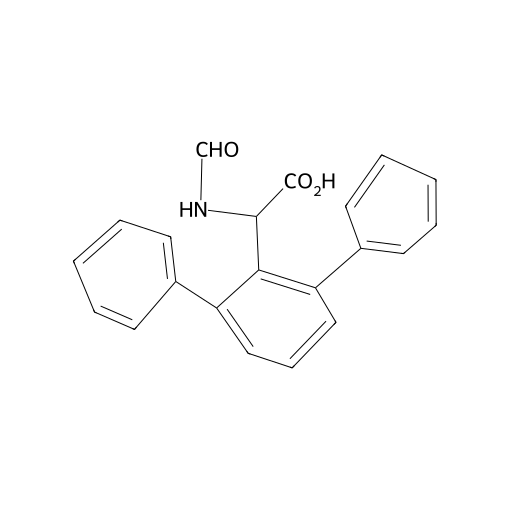 O=CNC(C(=O)O)c1c(-c2ccccc2)cccc1-c1ccccc1